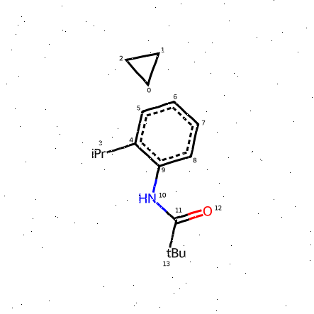 C1CC1.CC(C)c1ccccc1NC(=O)C(C)(C)C